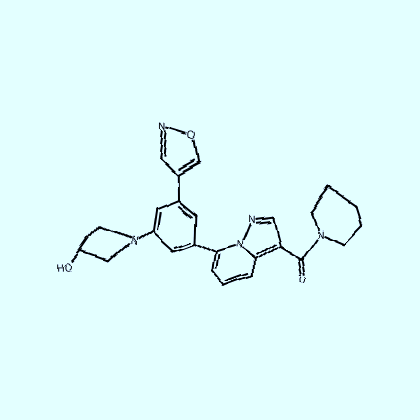 O=C(c1cnn2c(-c3cc(-c4cnoc4)cc(N4CC(O)C4)c3)cccc12)N1CCCCC1